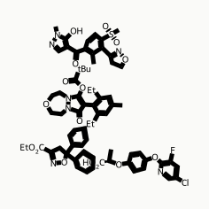 CCOC(=O)C1=NOC(c2ccccc2)(c2ccccc2)C1.CCc1cc(C)cc(CC)c1-c1c(OC(=O)C(C)(C)C)n2n(c1=O)CCOCC2.C[C@@H](Oc1ccc(Oc2ncc(Cl)cc2F)cc1)C(=O)O.Cc1c(C(=O)c2cnn(C)c2O)ccc(S(C)(=O)=O)c1C1=NOCC1